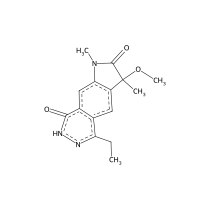 CCc1n[nH]c(=O)c2cc3c(cc12)C(C)(OC)C(=O)N3C